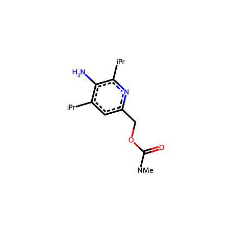 CNC(=O)OCc1cc(C(C)C)c(N)c(C(C)C)n1